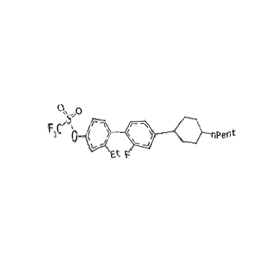 CCCCCC1CCC(c2ccc(-c3ccc(OS(=O)(=O)C(F)(F)F)cc3CC)c(F)c2)CC1